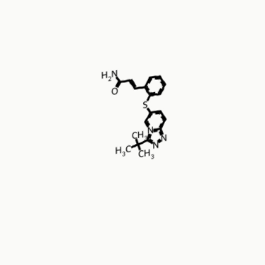 CC(C)(C)c1nnc2ccc(Sc3ccccc3/C=C/C(N)=O)cn12